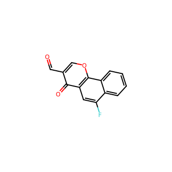 O=Cc1coc2c(cc(F)c3ccccc32)c1=O